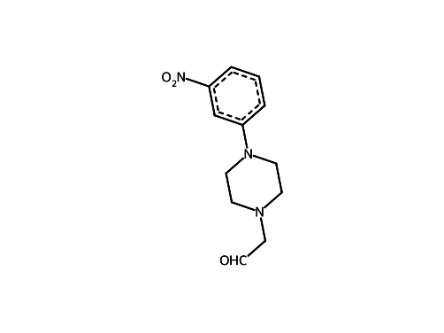 O=CCN1CCN(c2cccc([N+](=O)[O-])c2)CC1